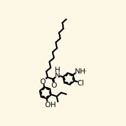 CCCCCCCCCCCCC(Oc1ccc(O)c(C(C)CC)c1)C(=O)Nc1ccc(Cl)c([NH])c1